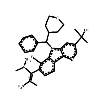 C/C(N)=C(\c1ccc2c3ncc(C(C)(C)O)cc3n(C(c3ccccc3)C3CCOCC3)c2c1F)N(C)N